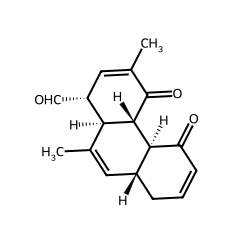 CC1=C[C@@H](C=O)[C@@H]2C(C)=C[C@H]3CC=CC(=O)[C@@H]3[C@H]2C1=O